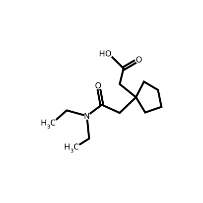 CCN(CC)C(=O)CC1(CC(=O)O)CCCC1